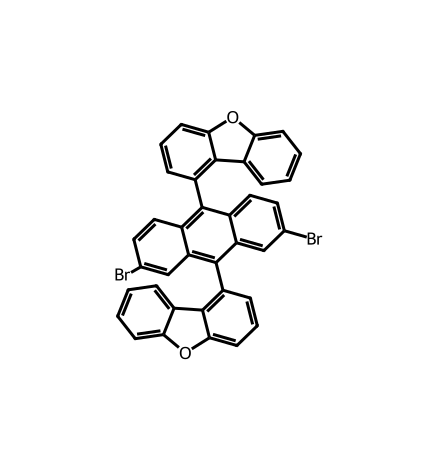 Brc1ccc2c(-c3cccc4oc5ccccc5c34)c3ccc(Br)cc3c(-c3cccc4oc5ccccc5c34)c2c1